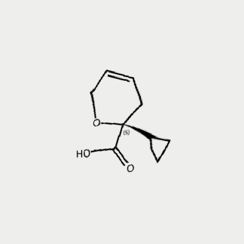 O=C(O)[C@@]1(C2CC2)CC=CCO1